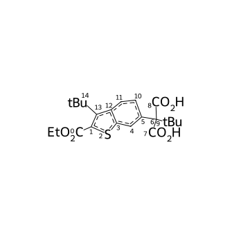 CCOC(=O)c1sc2cc(C(C(=O)O)(C(=O)O)C(C)(C)C)ccc2c1C(C)(C)C